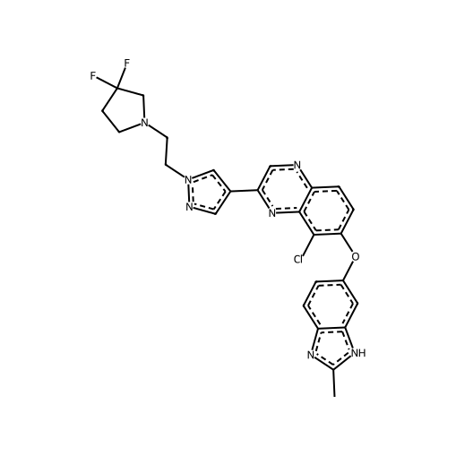 Cc1nc2ccc(Oc3ccc4ncc(-c5cnn(CCN6CCC(F)(F)C6)c5)nc4c3Cl)cc2[nH]1